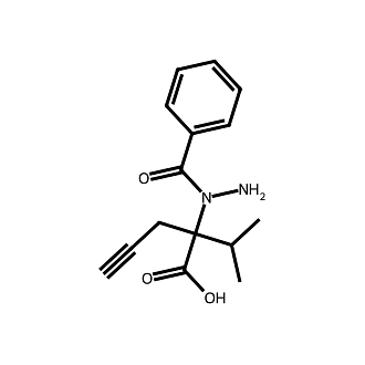 C#CCC(C(=O)O)(C(C)C)N(N)C(=O)c1ccccc1